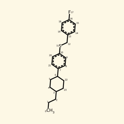 CCCC1CCC(c2ccc(SCc3ccc(F)cc3)cc2)CC1